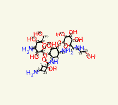 NC1CC(O)(C(=O)N[C@@H]2C[C@H](N)C(O[C@H]3O[C@H](CNCCO)[C@@H](O)[C@H](O)[C@H]3O)[C@H](O)[C@H]2O[C@H]2O[C@H](CO)[C@@H](O)[C@H](N)[C@H]2O)C1